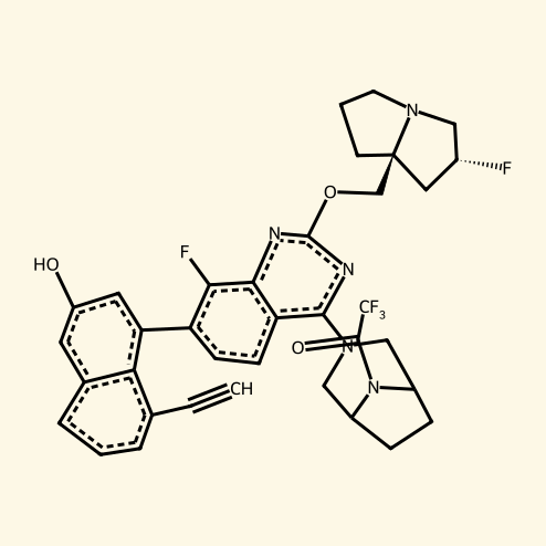 C#Cc1cccc2cc(O)cc(-c3ccc4c(N5CC6CCC(C5)N6C(=O)C(F)(F)F)nc(OC[C@@]56CCCN5C[C@H](F)C6)nc4c3F)c12